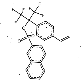 C=Cc1ccc(C(OS(=O)(=O)c2ccc3ccccc3c2)(C(F)(F)F)C(F)(F)F)cc1